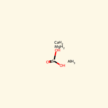 O=[Si](O)O.[AlH3].[CaH2].[MgH2]